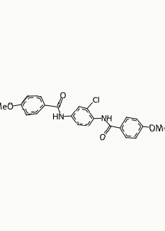 COc1ccc(C(=O)Nc2ccc(NC(=O)c3ccc(OC)cc3)c(Cl)c2)cc1